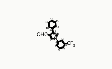 O=Cc1cn(-c2cccc(C(F)(F)F)c2)nc1-c1ccccc1